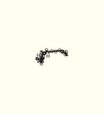 CC[C@@H]1C(=O)N(C)c2cnc(Nc3ccc(C(=O)NCCOCCOCCOC4CCN(C(=O)OC(C)(C)C)CC4)cc3OC)nc2N1C1CCCC1